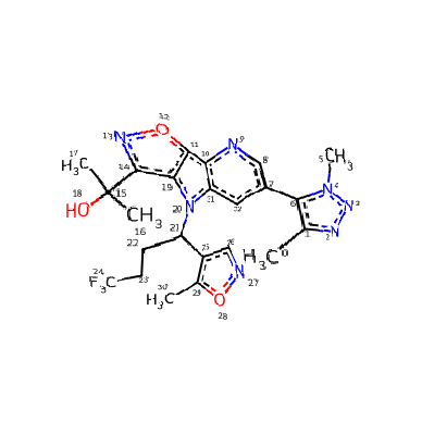 Cc1nnn(C)c1-c1cnc2c3onc(C(C)(C)O)c3n(C(CCC(F)(F)F)c3cnoc3C)c2c1